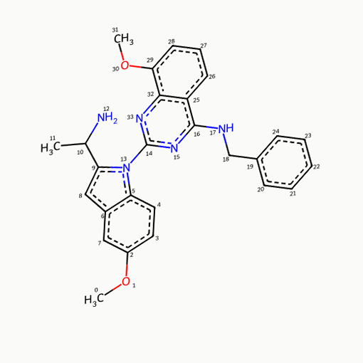 COc1ccc2c(c1)cc(C(C)N)n2-c1nc(NCc2ccccc2)c2cccc(OC)c2n1